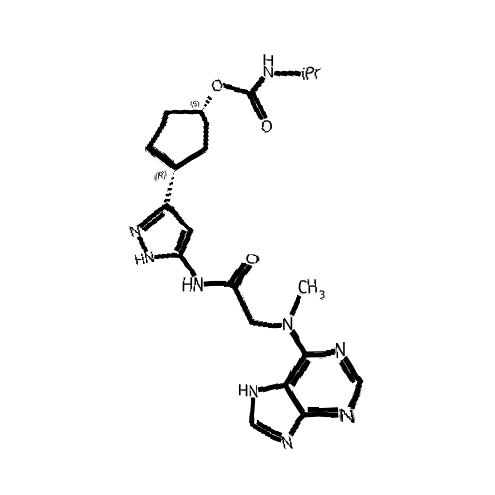 CC(C)NC(=O)O[C@H]1CC[C@@H](c2cc(NC(=O)CN(C)c3ncnc4nc[nH]c34)[nH]n2)C1